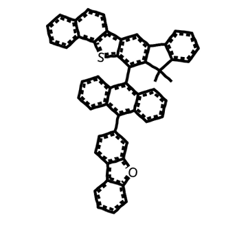 CC1(C)c2ccccc2-c2cc3c(sc4c5ccccc5ccc34)c(-c3c4ccccc4c(-c4ccc5c(c4)oc4ccccc45)c4ccccc34)c21